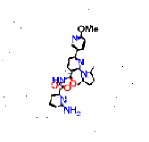 COc1ccc(-c2ccc(C(=O)NS(=O)(=O)c3cccc(N)n3)c(N3[C@H](C)CC[C@@H]3C)n2)cn1